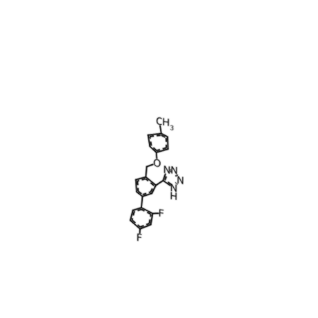 Cc1ccc(OCc2ccc(-c3ccc(F)cc3F)cc2-c2nnn[nH]2)cc1